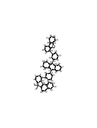 CC1(C)c2cccc(-c3cccc(-c4c5ccccc5c(-c5cccc(-c6cccc7c6oc6ccccc67)c5)c5ccccc45)c3)c2-c2c1ccc1ccccc21